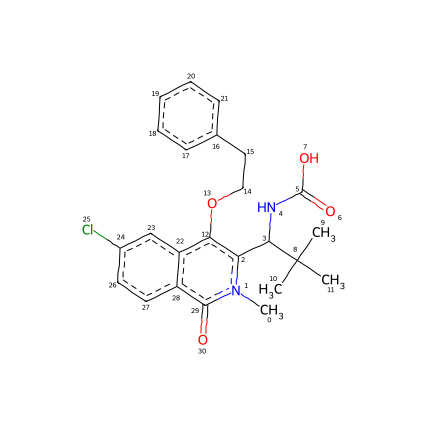 Cn1c(C(NC(=O)O)C(C)(C)C)c(OCCc2ccccc2)c2cc(Cl)ccc2c1=O